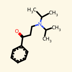 CC(C)N(CCC(=O)c1cc[c]cc1)C(C)C